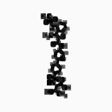 Cc1c(C(=O)Nc2ccc(-c3ccc(S(=O)(=O)N[C@H](C(=O)O)C(C)O)cc3)nc2)oc2cccc(NS(C)(=O)=O)c12